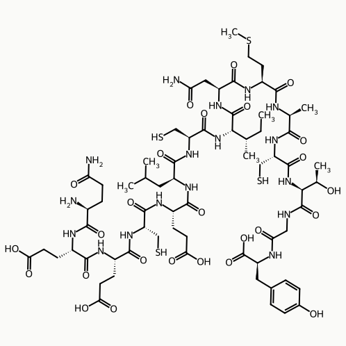 CC[C@H](C)[C@H](NC(=O)[C@H](CS)NC(=O)[C@H](CC(C)C)NC(=O)[C@H](CCC(=O)O)NC(=O)[C@H](CS)NC(=O)[C@H](CCC(=O)O)NC(=O)[C@H](CCC(=O)O)NC(=O)[C@@H](N)CCC(N)=O)C(=O)N[C@@H](CC(N)=O)C(=O)N[C@@H](CCSC)C(=O)N[C@@H](C)C(=O)N[C@@H](CS)C(=O)N[C@H](C(=O)NCC(=O)N[C@@H](Cc1ccc(O)cc1)C(=O)O)[C@@H](C)O